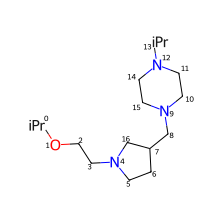 CC(C)OCCN1CCC(CN2CCN(C(C)C)CC2)C1